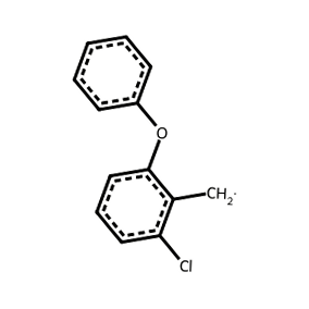 [CH2]c1c(Cl)cccc1Oc1ccccc1